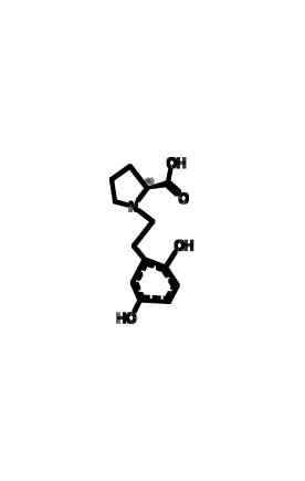 O=C(O)[C@@H]1CCCN1CCc1cc(O)ccc1O